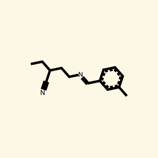 CCC(C#N)CC/N=C/c1cccc(C)c1